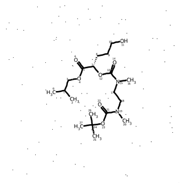 CC(C)COC(=O)[C@H](CCCO)OC(=O)N(C)CCN(C)C(=O)OC(C)(C)C